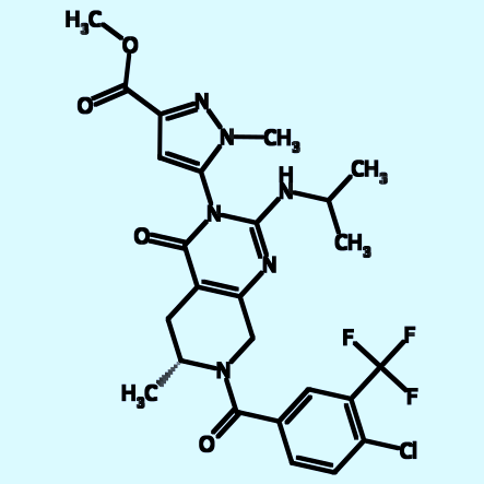 COC(=O)c1cc(-n2c(NC(C)C)nc3c(c2=O)C[C@@H](C)N(C(=O)c2ccc(Cl)c(C(F)(F)F)c2)C3)n(C)n1